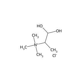 CC(C(O)O)[N+](C)(C)C.[Cl-]